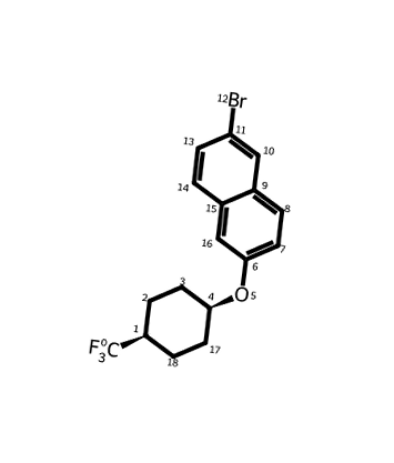 FC(F)(F)[C@H]1CC[C@@H](Oc2ccc3cc(Br)ccc3c2)CC1